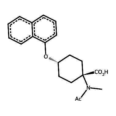 CC(=O)N(C)[C@]1(C(=O)O)CC[C@H](Oc2cccc3ccccc23)CC1